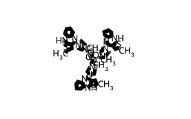 Cc1cc2c(s1)Nc1ccccc1N=C2N1CC[N+](C)(COP(=O)(OC[N+]2(C)CCN(C3=Nc4ccccc4Nc4sc(C)cc43)CC2)OC[N+]2(C)CCN(C3=Nc4ccccc4Nc4sc(C)cc43)CC2)CC1